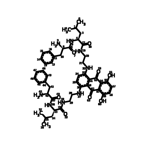 CC(C)C[C@H](NC(=O)[C@@H](N)Cc1ccccc1)C(=O)NCCNc1ccc(NCCNC(=O)[C@H](CC(C)C)NC(=O)[C@@H](N)Cc2ccccc2)c2c1C(=O)c1c(O)ccc(O)c1C2=O